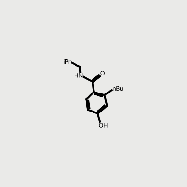 CCCCc1cc(O)ccc1C(=O)NCC(C)C